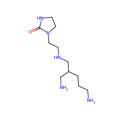 NCCCC(CN)CNCCN1CCNC1=O